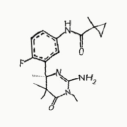 CN1C(=O)C(C)(C)[C@@](C)(c2cc(NC(=O)C3(C)CC3)ccc2F)N=C1N